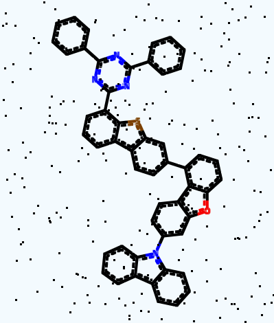 c1ccc(-c2nc(-c3ccccc3)nc(-c3cccc4c3sc3cc(-c5cccc6oc7cc(-n8c9ccccc9c9ccccc98)ccc7c56)ccc34)n2)cc1